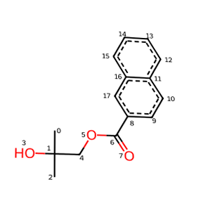 CC(C)(O)COC(=O)c1ccc2ccccc2c1